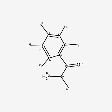 Cc1c(C)c(C)c(C(=O)C(C)P)c(C)c1C